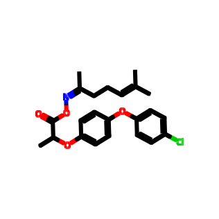 CC(C)=CCCC(C)=NOC(=O)C(C)Oc1ccc(Oc2ccc(Cl)cc2)cc1